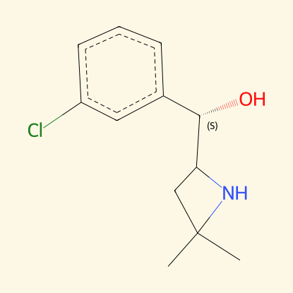 CC1(C)CC([C@@H](O)c2cccc(Cl)c2)N1